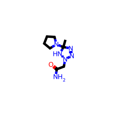 CC1(N2CCCC2)N=NN(CC(N)=O)N1